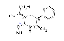 C[C@H]1N/C(=N\N)[C@@H](N(C(=O)O)C(C)(C)C)C[C@H]1c1ccccc1